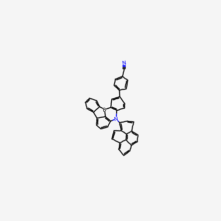 N#Cc1ccc(-c2ccc3c(c2)B2c4ccccc4-c4cccc(c42)N3c2ccc3ccc4cccc5ccc2c3c45)cc1